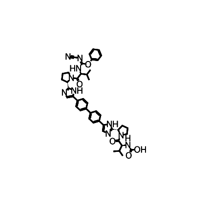 CC(C)[C@H](NC(=O)O)C(=O)N1CCC[C@H]1c1ncc(-c2ccc(-c3ccc(-c4cnc([C@@H]5CCCN5C(=O)[C@@H](N/C(=N\C#N)Oc5ccccc5)C(C)C)[nH]4)cc3)cc2)[nH]1